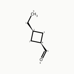 CC[C@H]1C[C@@H](C=O)C1